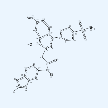 CCN(C(=O)Cn1nc(-c2ccc(S(N)(=O)=O)cc2)c2ccc(OC)cc2c1=O)c1ccc2nc(C)oc2c1